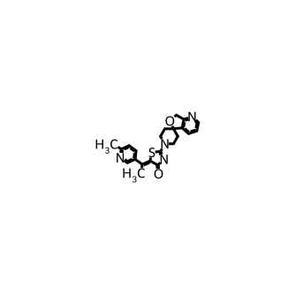 C/C(=C1/SC(N2CCC3(CC2)OCc2ncccc23)=NC1=O)c1ccc(C)nc1